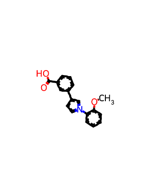 COc1ccccc1-n1ccc(-c2cccc(C(=O)O)c2)c1